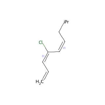 C=C/C=C(Cl)\C=C/CC(C)C